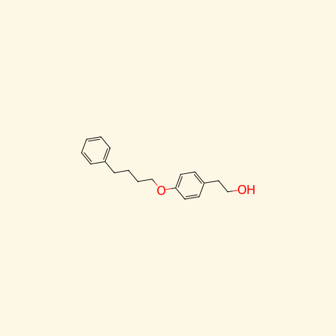 OCCc1ccc(OCCCCc2ccccc2)cc1